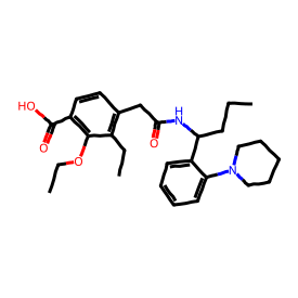 CCCC(NC(=O)Cc1ccc(C(=O)O)c(OCC)c1CC)c1ccccc1N1CCCCC1